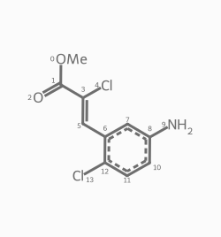 COC(=O)C(Cl)=Cc1cc(N)ccc1Cl